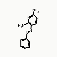 Nc1ncc(N=Nc2ccccc2)c(N)n1